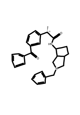 C[C@H](C(=O)NC1CCC2CN(Cc3ccccc3)CC21)c1cccc(C(=O)c2ccccc2)c1